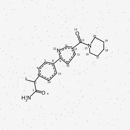 CC(C(N)=O)c1ccc(-c2ccc(C(=O)N3CCCCC3)cn2)cc1